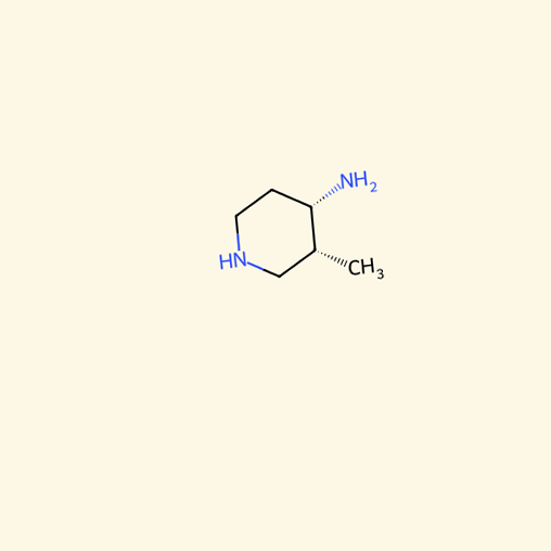 C[C@@H]1CNCC[C@@H]1N